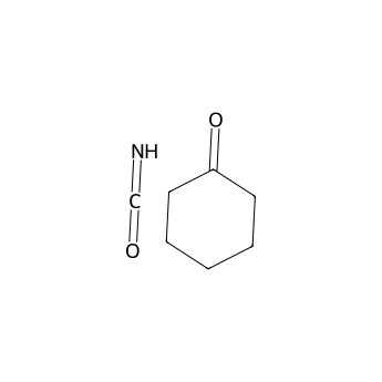 N=C=O.O=C1CCCCC1